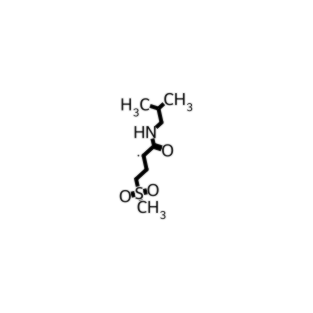 CC(C)CNC(=O)[CH]CCS(C)(=O)=O